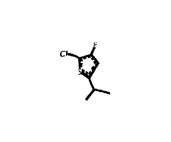 CC(C)c1cc(F)c(Cl)s1